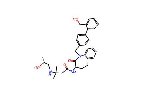 C[C@@H](O)CNC(C)(C)CC(=O)N[C@@H]1CCc2ccccc2N(Cc2ccc(-c3ccccc3CO)cc2)C1=O